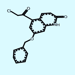 O=C(CCl)c1cc(OCc2ccccc2)cc2[nH]c(=O)ccc12